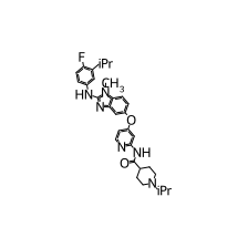 CC(C)c1cc(Nc2nc3cc(Oc4ccnc(NC(=O)C5CCN(C(C)C)CC5)c4)ccc3n2C)ccc1F